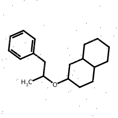 CC(Cc1ccccc1)OC1CCC2CCCCC2C1